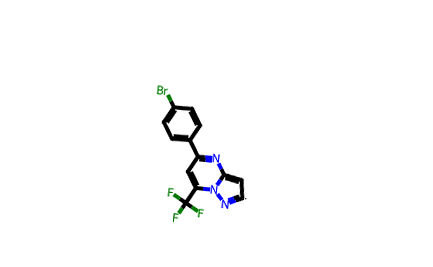 FC(F)(F)c1cc(-c2ccc(Br)cc2)nc2c[c]nn12